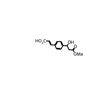 COC(=O)CC(O)c1ccc(/C=C/C(=O)O)cc1